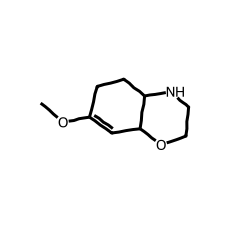 COC1=CC2OCCNC2CC1